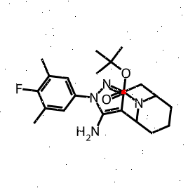 Cc1cc(-n2nc3c(c2N)C2CCCC(C3)N2C(=O)OC(C)(C)C)cc(C)c1F